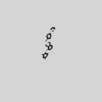 N#Cc1cc(F)cc(F)c1Oc1cccc2c1C(=O)N(Cc1ccc(-n3cccn3)cc1)C2